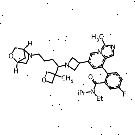 CCN(C(=O)c1cc(F)ccc1-c1cc(C2CN(C(CCCN3C[C@H]4C[C@@H]3CO4)C3(C)COC3)C2)cn2c(C)ncc12)C(C)C